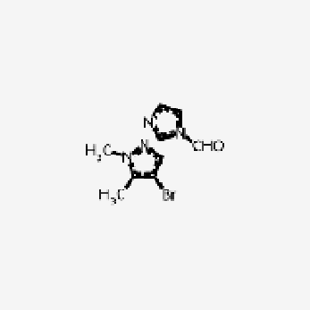 Cc1c(Br)cnn1C.O=Cn1ccnc1